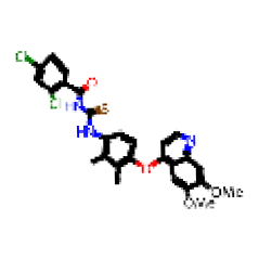 COc1cc2nccc(Oc3ccc(NC(=S)NC(=O)c4ccc(Cl)cc4Cl)c(C)c3C)c2cc1OC